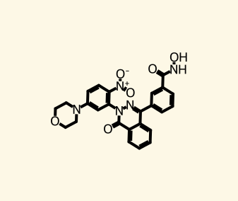 O=C(NO)c1cccc(-c2nn(-c3cc(N4CCOCC4)ccc3[N+](=O)[O-])c(=O)c3ccccc23)c1